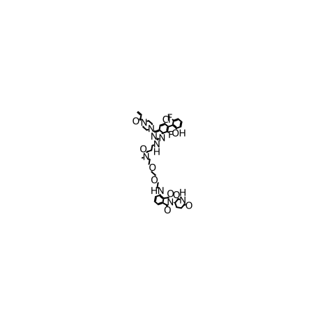 C=CC(=O)N1CCN(c2nc(NCCC(=O)N(C)CCOCCOCCNc3cccc4c3C(=O)N([C@H]3CCC(=O)NC3=O)C4=O)nc3c(F)c(-c4c(O)cccc4F)c(Cl)cc23)CC1